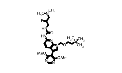 COc1ncnc(OC)c1-c1cn(COCC[Si](C)(C)C)c2nc(NC(=O)NCC(F)CN(C)C)ccc12